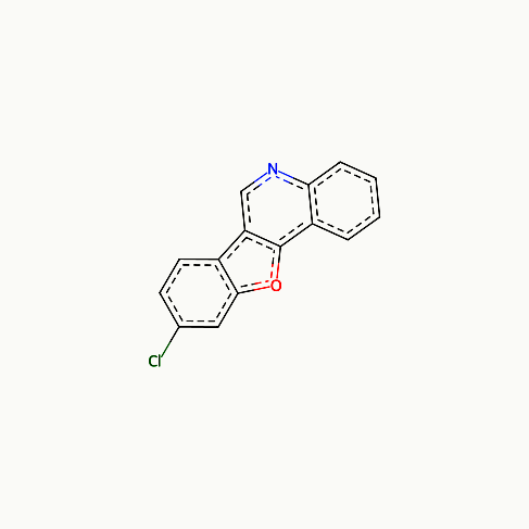 Clc1ccc2c(c1)oc1c3ccccc3ncc21